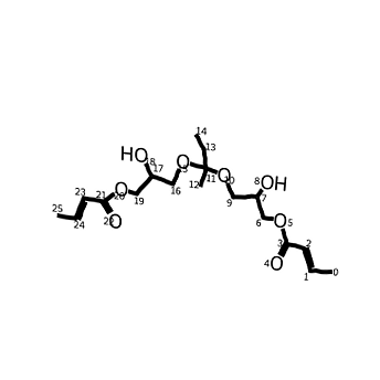 CC=CC(=O)OCC(O)COC(C)(CC)OCC(O)COC(=O)C=CC